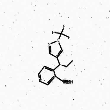 CC[C@H](c1cnn(C(F)(F)F)c1)c1ccccc1C#N